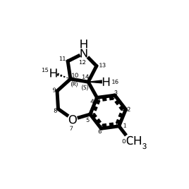 Cc1ccc2c(c1)OCC[C@H]1CNC[C@H]21